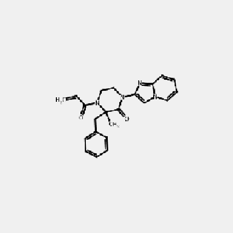 C=CC(=O)N1CCN(c2cn3ccccc3n2)C(=O)C1(C)Cc1ccccc1